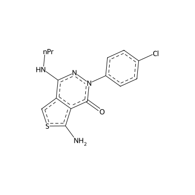 CCCNc1nn(-c2ccc(Cl)cc2)c(=O)c2c(N)scc12